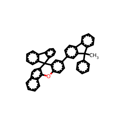 CC1(c2ccccc2)c2ccccc2-c2ccc(-c3ccc4c(c3)C3(c5ccccc5-c5ccccc53)c3ccc5ccccc5c3O4)cc21